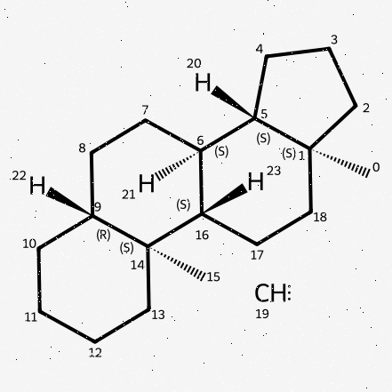 C[C@@]12CCC[C@H]1[C@@H]1CC[C@H]3CCCC[C@]3(C)[C@H]1CC2.[CH]